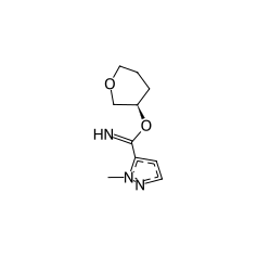 Cn1nccc1C(=N)O[C@@H]1CCCOC1